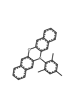 Cc1cc(C)c(N2c3cc4ccccc4cc3Oc3cc4ccccc4cc32)c(C)c1